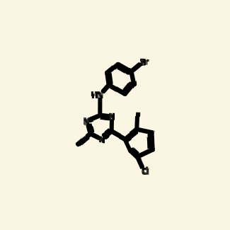 Cc1nc(Nc2ccc(Br)cc2)nc(-c2cc(Cl)ccc2C)n1